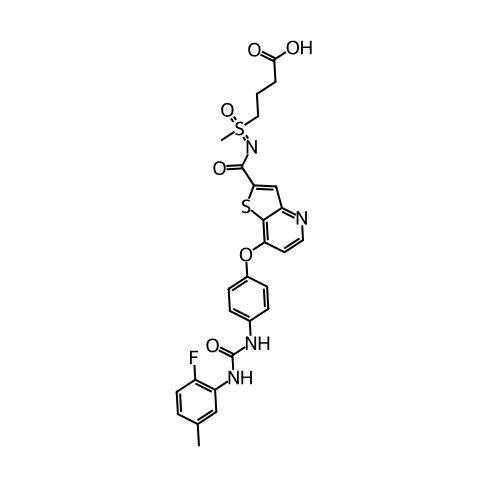 Cc1ccc(F)c(NC(=O)Nc2ccc(Oc3ccnc4cc(C(=O)N=S(C)(=O)CCCC(=O)O)sc34)cc2)c1